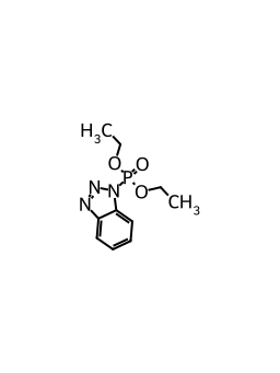 CCOP(=O)(OCC)n1nnc2ccccc21